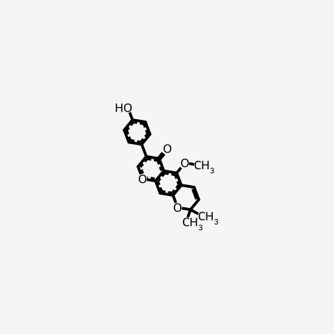 COc1c2c(cc3occ(-c4ccc(O)cc4)c(=O)c13)OC(C)(C)C=C2